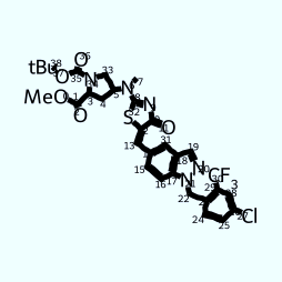 COC(=O)C1CC(N(C)C2=NC(=O)C(=Cc3ccc4c(cnn4Cc4ccc(Cl)cc4C(F)(F)F)c3)S2)CN1C(=O)OC(C)(C)C